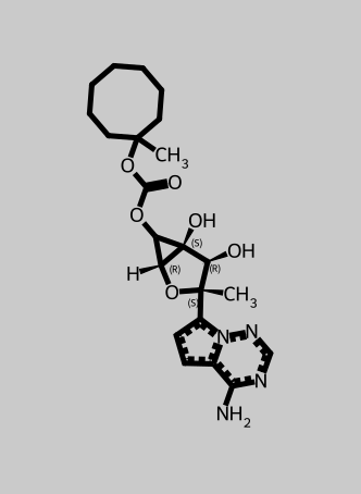 CC1(OC(=O)OC2[C@H]3O[C@@](C)(c4ccc5c(N)ncnn45)[C@H](O)[C@@]23O)CCCCCCC1